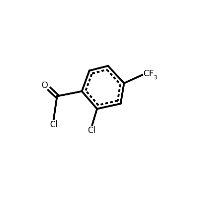 O=C(Cl)c1ccc(C(F)(F)F)cc1Cl